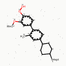 CCCCCCCC1CCC(c2ccc(-c3ccc(OO)c(OOC)c3)c(C)c2)CC1